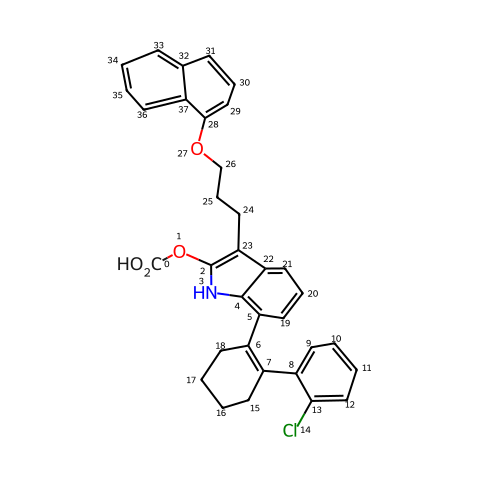 O=C(O)Oc1[nH]c2c(C3=C(c4ccccc4Cl)CCCC3)cccc2c1CCCOc1cccc2ccccc12